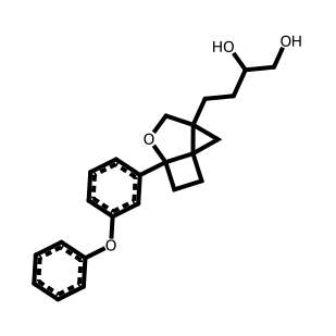 OCC(O)CCC12COC3(c4cccc(Oc5ccccc5)c4)CCC13C2